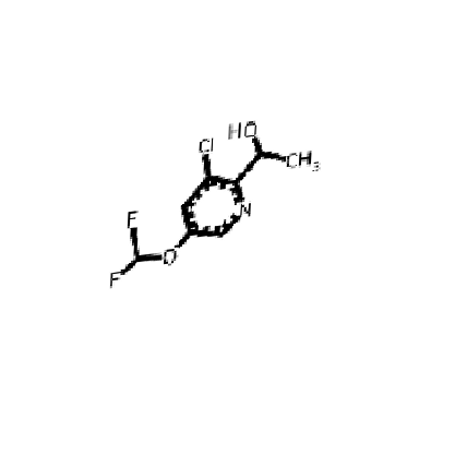 CC(O)c1ncc(OC(F)F)cc1Cl